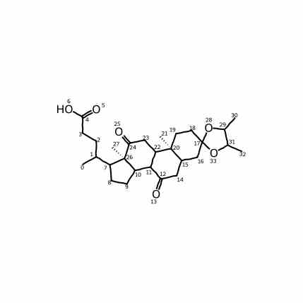 CC(CCC(=O)O)C1CCC2C3C(=O)CC4CC5(CC[C@]4(C)C3CC(=O)[C@]12C)OC(C)C(C)O5